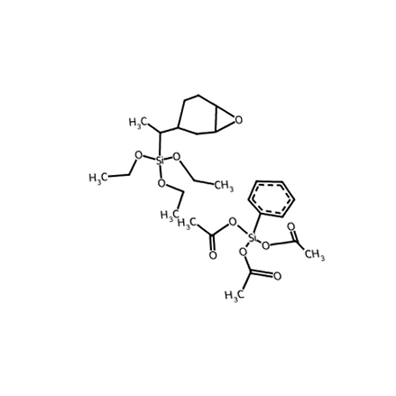 CC(=O)O[Si](OC(C)=O)(OC(C)=O)c1ccccc1.CCO[Si](OCC)(OCC)C(C)C1CCC2OC2C1